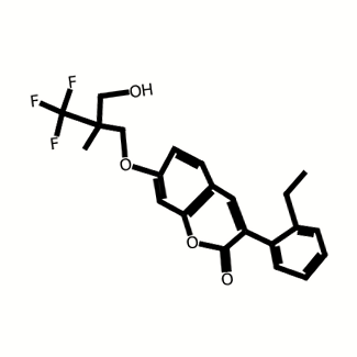 CCc1ccccc1-c1cc2ccc(OCC(C)(CO)C(F)(F)F)cc2oc1=O